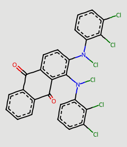 O=C1c2ccccc2C(=O)c2c1ccc(N(Cl)c1cccc(Cl)c1Cl)c2N(Cl)c1cccc(Cl)c1Cl